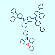 c1ccc(-c2ccc(N(c3ccc4c(c3)c3cc(-c5ccc(N(c6ccccc6)c6cccc7c6oc6ccccc67)cc5)ccc3n4-c3ccc4c5ccccc5c5ccccc5c4c3)c3ccc(-c4ccccc4)c4ccccc34)cc2)cc1